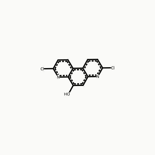 Oc1cc2nc(Cl)ccc2c2ccc(Cl)nc12